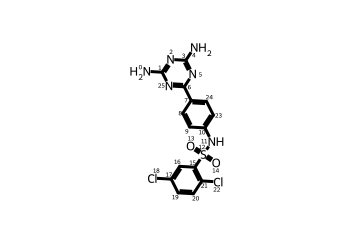 Nc1nc(N)nc(-c2ccc(NS(=O)(=O)c3cc(Cl)ccc3Cl)cc2)n1